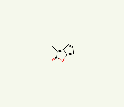 CC1=C2C=CC=C2OC1=O